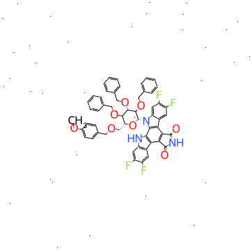 COc1ccc(COC[C@H]2O[C@@H](n3c4cc(F)c(F)cc4c4c5c(c6c7cc(F)c(F)cc7[nH]c6c43)C(=O)NC5=O)[C@H](OCc3ccccc3)[C@@H](OCc3ccccc3)[C@@H]2OCc2ccccc2)cc1